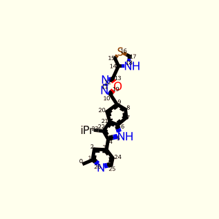 Cc1cc(-c2[nH]c3ccc(-c4nnc(C5CSCN5)o4)cc3c2C(C)C)ccn1